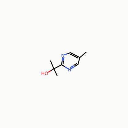 Cc1cnc(C(C)(C)O)nc1